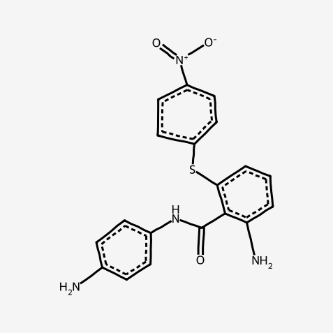 Nc1ccc(NC(=O)c2c(N)cccc2Sc2ccc([N+](=O)[O-])cc2)cc1